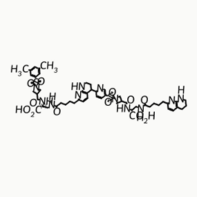 Cc1cc(C)cc(S(=O)(=O)N2CC(C(=O)N[C@@H](CNC(=O)CCCCc3ccc4c(n3)NCCC4c3ccc(S(=O)(=O)N4CC(C(=O)NC(CNC(=O)CCCCc5ccc6c(n5)NCCC6)C(=O)O)C4)cn3)C(=O)O)C2)c1